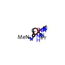 CNCCN(C)Cc1cccc(C2Nc3c(cnn3C(C)C)C(C(=O)NCc3cc(C)nn3C)C23C/C=C\CCCCCC3)c1